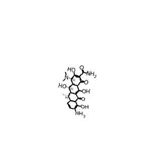 C[C@H]1c2ccc(N)c(O)c2C(=O)C2=C(O)C3C(=O)C(C(N)=O)=C(O)[C@@H](N(C)C)C3[C@@H](O)C21